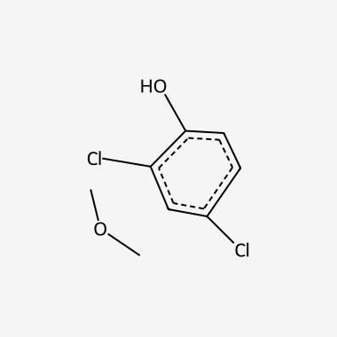 COC.Oc1ccc(Cl)cc1Cl